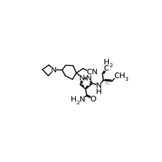 C=C/C(=C\C)Nc1nn(C2(CC#N)CCC(N3CCC3)CC2)cc1C(N)=O